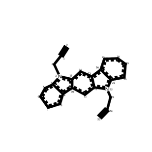 C#CCn1c2ccccc2c2cc3c(cc21)c1ccccc1n3CC#C